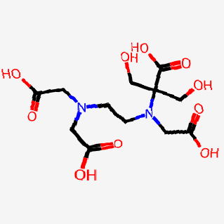 O=C(O)CN(CCN(CC(=O)O)C(CO)(CO)C(=O)O)CC(=O)O